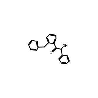 O=C(c1ccccc1Cc1ccccc1)C(O)c1ccccc1